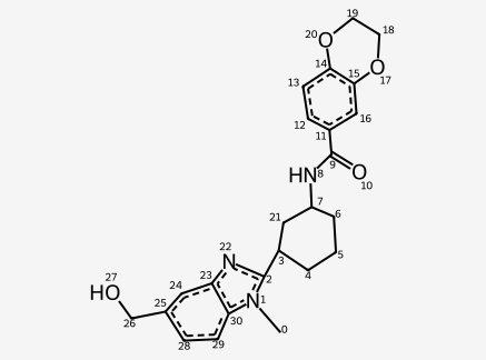 Cn1c(C2CCCC(NC(=O)c3ccc4c(c3)OCCO4)C2)nc2cc(CO)ccc21